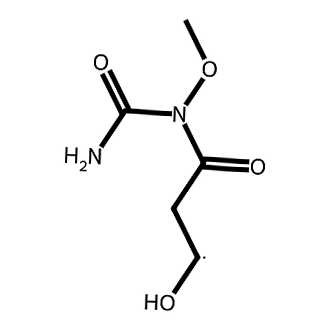 CON(C(N)=O)C(=O)C[CH]O